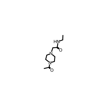 CCNC(=O)CN1CCN(C(C)=O)CC1